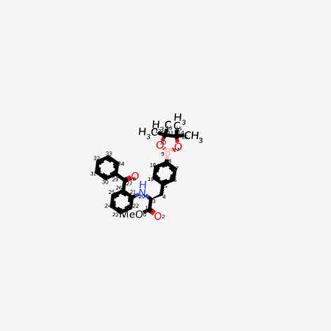 COC(=O)[C@H](Cc1ccc(B2OC(C)(C)C(C)(C)O2)cc1)Nc1ccccc1C(=O)c1ccccc1